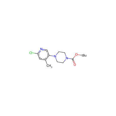 Cc1cc(Cl)ncc1N1CCN(C(=O)OC(C)(C)C)CC1